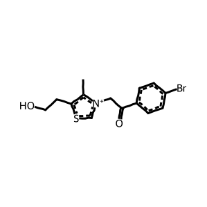 Cc1c(CCO)sc[n+]1CC(=O)c1ccc(Br)cc1